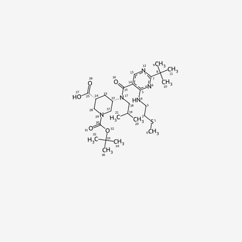 CSCCNc1nc(C(C)(C)C)ncc1C(=O)N(CC(C)C)[C@H]1C[C@@H](C(=O)O)CN(C(=O)OC(C)(C)C)C1